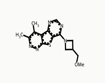 COCC1CN(c2ncnc3c2sc2nnc(C)c(C)c23)C1